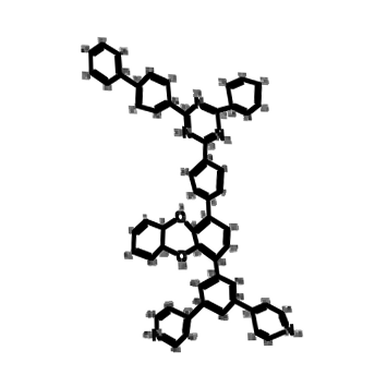 C1=CC2Oc3c(-c4ccc(-c5nc(-c6ccccc6)nc(-c6ccc(-c7ccccc7)cc6)n5)cc4)ccc(-c4cc(-c5ccncc5)cc(-c5ccncc5)c4)c3OC2C=C1